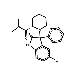 CN(C)C(=O)[C@@H]1CCCCN1C1(c2ccccn2)C(=O)Nc2ccc(Cl)cc21